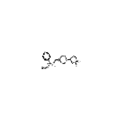 [CH2-][NH2+][C@@H](c1ccccc1)[C@@H](C)CN1CCN(C2CCS(=O)(=O)C2)CC1